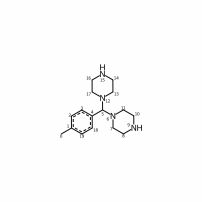 Cc1ccc(C(N2CCNCC2)N2CCNCC2)cc1